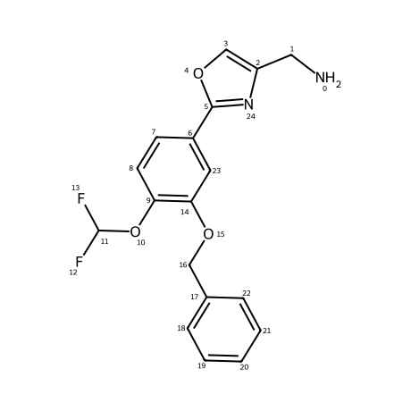 NCc1coc(-c2ccc(OC(F)F)c(OCc3ccccc3)c2)n1